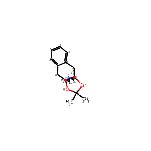 CC1(C)OC2C3c4ccccc4C(c4c[nH]cc43)C2O1